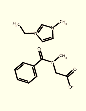 CC[n+]1ccn(C)c1.CN(CC(=O)[O-])C(=O)c1ccccc1